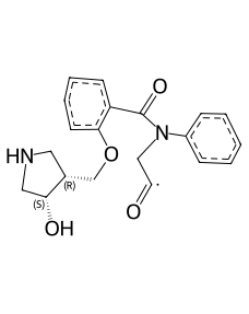 O=[C]CN(C(=O)c1ccccc1OC[C@H]1CNC[C@H]1O)c1ccccc1